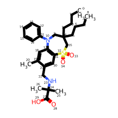 CCCCC1(CCCC)CN(c2ccccc2)c2cc(C)c(CNC(C)(C)C(=O)O)cc2S(=O)(=O)C1